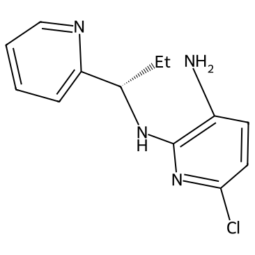 CC[C@H](Nc1nc(Cl)ccc1N)c1ccccn1